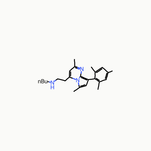 CCCCNCCc1cc(C)nc2c(-c3c(C)cc(C)cc3C)cc(C)n12